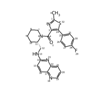 Cc1nc(C(=O)N2CCCC[C@H]2CNc2ccc3ncccc3n2)c(-c2ccc(F)cc2)s1